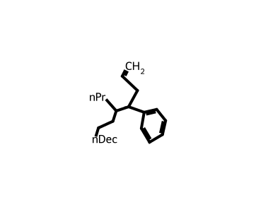 C=CC[C](c1ccccc1)C(CCC)CCCCCCCCCCCC